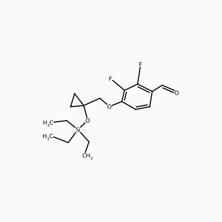 CC[Si](CC)(CC)OC1(COc2ccc(C=O)c(F)c2F)CC1